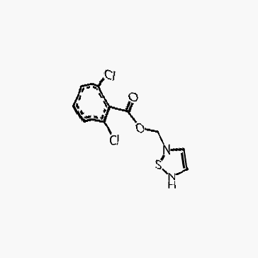 O=C(OCN1C=CNS1)c1c(Cl)cccc1Cl